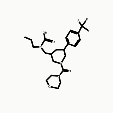 CCCN(CC1CC(c2ccc(C(F)(F)F)cc2)CN(C(=O)N2CCOCC2)C1)C(=O)O